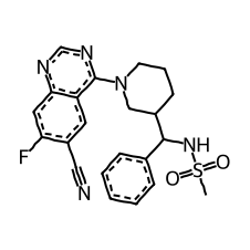 CS(=O)(=O)NC(c1ccccc1)C1CCCN(c2ncnc3cc(F)c(C#N)cc23)C1